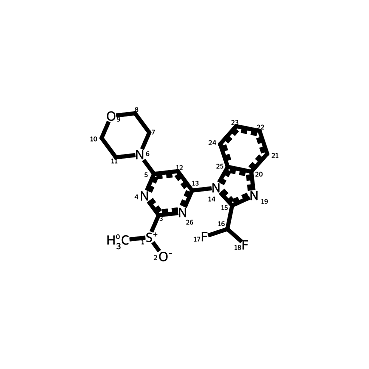 C[S+]([O-])c1nc(N2CCOCC2)cc(-n2c(C(F)F)nc3ccccc32)n1